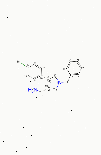 NC[C@H]1CN(Cc2ccccc2)C[C@H]1c1ccc(F)cc1